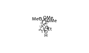 CCOc1c(O)cccc1-c1cc(OC)c(OC)c(OC)c1